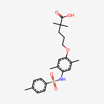 Cc1ccc(S(=O)(=O)Nc2cc(C)c(OCCCC(C)(C)C(=O)O)cc2C)cc1